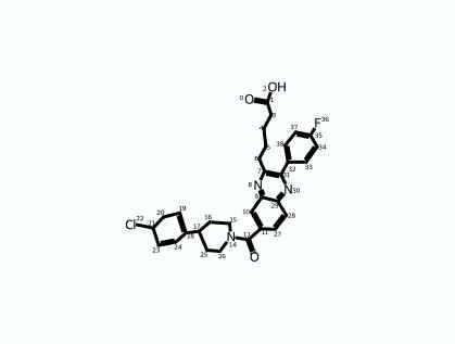 O=C(O)CCCCc1nc2cc(C(=O)N3CCC(C4=CCC(Cl)C=C4)CC3)ccc2nc1-c1ccc(F)cc1